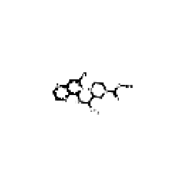 CC(Nc1nc(Cl)cc2nccnc12)C1CN(C(=O)OC(C)(C)C)CCO1